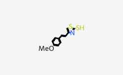 COc1ccc(C=Cc2csc(S)n2)cc1